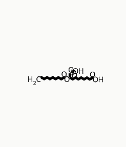 C=CCCCCCCCC(=O)OC(CCCCCCCC(=O)O)CS(=O)(=O)O